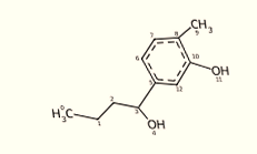 CCCC(O)c1ccc(C)c(O)c1